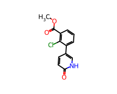 COC(=O)c1cccc(-c2ccc(=O)[nH]c2)c1Cl